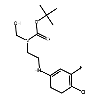 CC(C)(C)OC(=O)N(CO)CCNC1=CC(F)=C(Cl)CC1